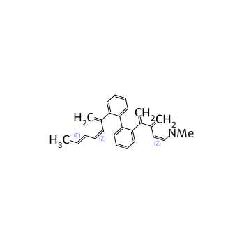 C=C(/C=C\NC)C(=C)c1ccccc1-c1ccccc1C(=C)/C=C\C=C\C